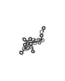 O=C(NC1CCCC1COC(=O)c1cc(OCc2ccccc2)c(C(=O)c2c(OCc3ccccc3)cccc2C(=O)OCc2ccccc2)c(OCc2ccccc2)c1)c1ccc(OCc2ccccc2)cc1